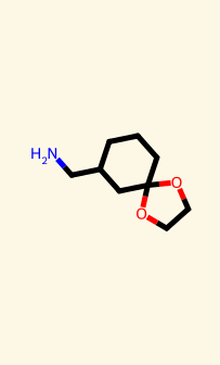 NCC1CCCC2(C1)OCCO2